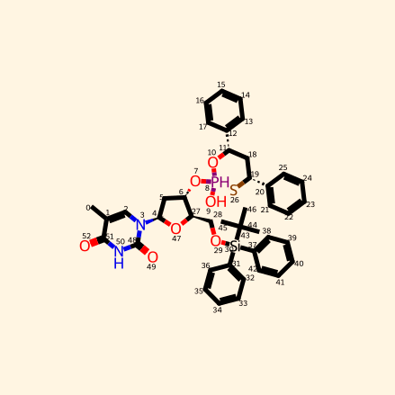 Cc1cn([C@H]2C[C@H](O[PH]3(O)O[C@H](c4ccccc4)C[C@H](c4ccccc4)S3)[C@@H](CO[Si](c3ccccc3)(c3ccccc3)C(C)(C)C)O2)c(=O)[nH]c1=O